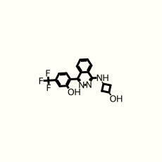 Oc1cc(C(F)(F)F)ccc1-c1nnc(N[C@H]2C[C@H](O)C2)c2ccccc12